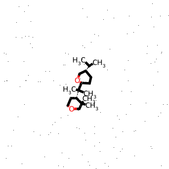 CC(C)[C@@H]1CCC(C(C)(C)[C@H]2CCOCC2(C)C)OC1